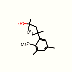 [CH2]C(O)(CC(C)(C)c1cc(C)cc(C)c1OC)C(F)(F)F